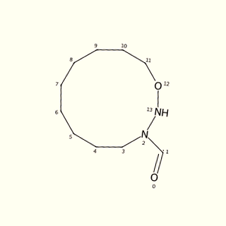 O=[C]N1CCCCCCCCCON1